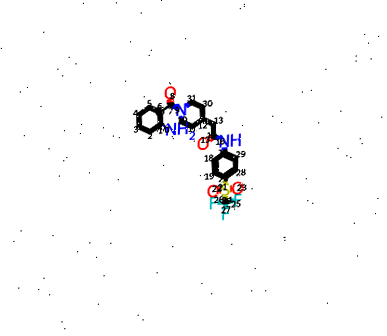 N[C@@H]1CCCC[C@H]1C(=O)N1CCC(CC(=O)Nc2ccc(S(=O)(=O)C(F)(F)F)cc2)CC1